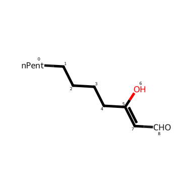 CCCCCCCCCC(O)=CC=O